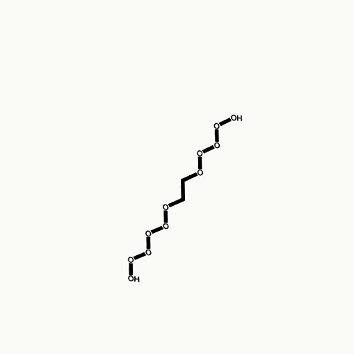 OOOOOCCOOOOOO